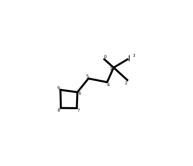 CC(C)(I)CCC1CCC1